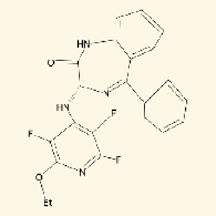 CCOc1nc(F)c(F)c(N[C@H]2N=C(c3ccccc3)c3ccccc3NC2=O)c1F